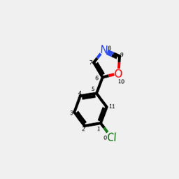 Clc1cccc(-c2cnco2)c1